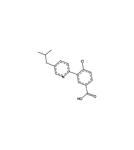 CC(C)[CH]c1ccc(-c2cc(C(=O)O)ccc2Cl)nc1